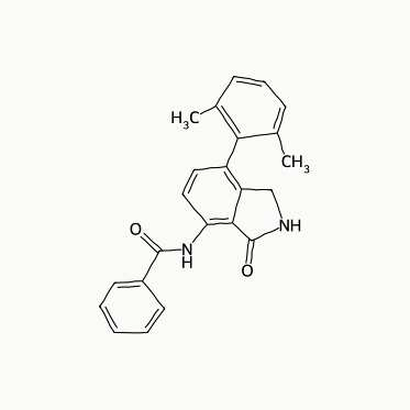 Cc1cccc(C)c1-c1ccc(NC(=O)c2ccccc2)c2c1CNC2=O